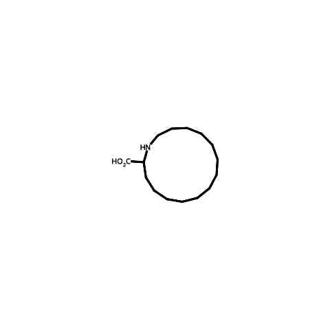 O=C(O)C1CCCCCCCCCCCCCN1